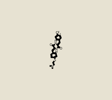 CN(C)CCSc1ccc(C=c2[nH]c(=O)c(=Cc3ccc(C(F)(F)F)cc3)[nH]c2=O)cc1